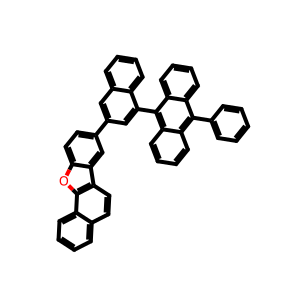 c1ccc(-c2c3ccccc3c(-c3cc(-c4ccc5oc6c7ccccc7ccc6c5c4)cc4ccccc34)c3ccccc23)cc1